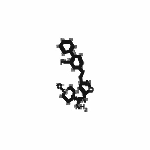 NC(=Nc1cc(CCc2ccc(-c3ccccc3)c(F)c2)no1)N1CC[S+]([O-])CC1